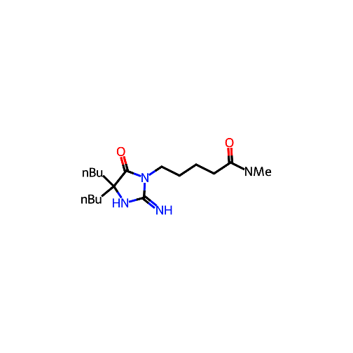 CCCCC1(CCCC)NC(=N)N(CCCCC(=O)NC)C1=O